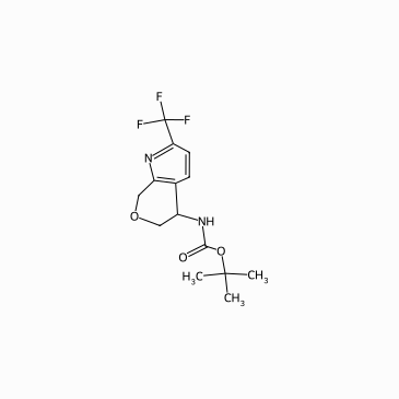 CC(C)(C)OC(=O)NC1COCc2nc(C(F)(F)F)ccc21